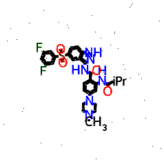 CC(C)C(=O)Nc1cc(N2CCN(C)CC2)ccc1C(=O)Nc1n[nH]c2ccc(S(=O)(=O)c3cc(F)cc(F)c3)cc12